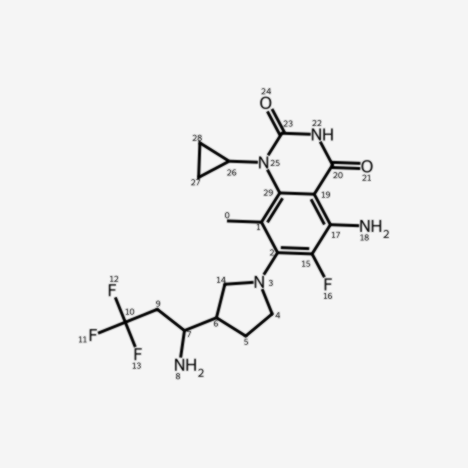 Cc1c(N2CCC(C(N)CC(F)(F)F)C2)c(F)c(N)c2c(=O)[nH]c(=O)n(C3CC3)c12